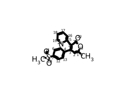 Cc1cc(-c2ccc(S(C)(=O)=O)cc2)c(-c2ccccn2)c(=O)o1